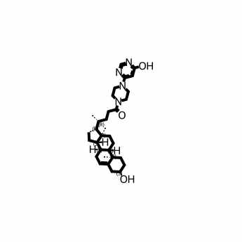 C[C@H](CCC(=O)N1CCN(c2cc(O)ncn2)CC1)[C@H]1CC[C@H]2[C@@H]3CC=C4C[C@@H](O)CC[C@]4(C)[C@H]3CC[C@]12C